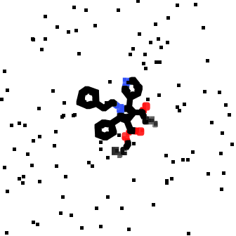 CCOC(=O)c1c(C(C)=O)c(-c2cccnc2)n(CCc2ccccc2)c1-c1ccccc1